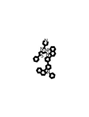 c1ccc(-c2cc3c(s2)=C(n2c4ccc(-c5ccc6c(c5)c5c7ccccc7ccc5n6-c5ccccc5)cc4c4ccc5ccccc5c42)NC(c2ccncc2)N=3)cc1